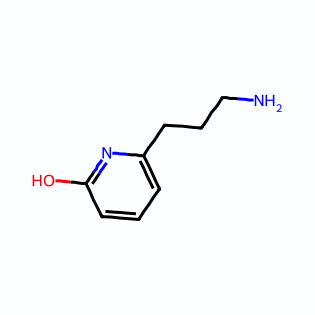 NCCCc1cccc(O)n1